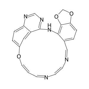 c1cnccncc2ccc3c(c2[nH]c2ncnc4ccc(cc42)oc1)OCO3